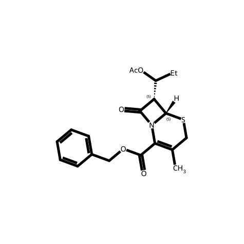 CCC(OC(C)=O)[C@H]1C(=O)N2C(C(=O)OCc3ccccc3)=C(C)CS[C@@H]12